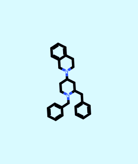 c1ccc(CC2CC(N3CCc4ccccc4C3)CCN2Cc2ccccc2)cc1